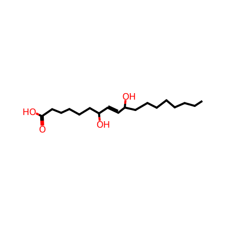 CCCCCCCCC(O)C=CC(O)CCCCCC(=O)O